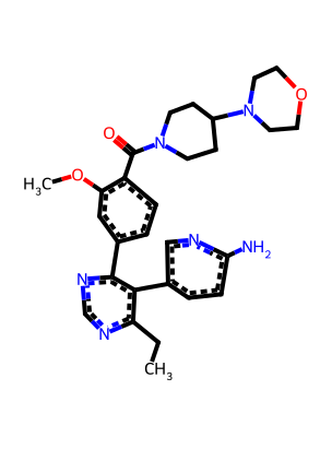 CCc1ncnc(-c2ccc(C(=O)N3CCC(N4CCOCC4)CC3)c(OC)c2)c1-c1ccc(N)nc1